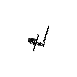 CC(C)O.CC(C)O.CCCCCCCCCCCC.CCCCCCCCCCCC.CCCO.CCCO.CO.CO